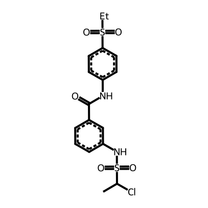 CCS(=O)(=O)c1ccc(NC(=O)c2cccc(NS(=O)(=O)C(C)Cl)c2)cc1